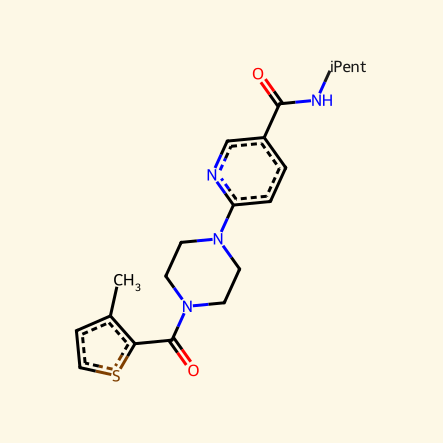 CCCC(C)NC(=O)c1ccc(N2CCN(C(=O)c3sccc3C)CC2)nc1